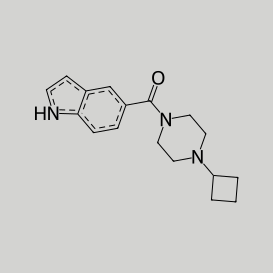 O=C(c1ccc2[nH]ccc2c1)N1CCN(C2CCC2)CC1